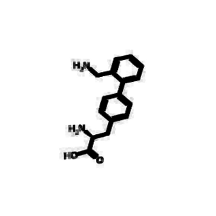 NCc1ccccc1-c1ccc(C[C@H](N)C(=O)O)cc1